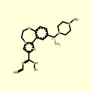 CC(C)N/C(=N\C=N)c1cn2c(n1)-c1cc([C@@H](C)N3CCN(C(C)(C)C)CC3)ccc1OCC2